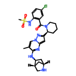 Cc1cn2nc([C@@H]3CCCCN3C(=O)c3cc(Cl)ccc3NS(C)(=O)=O)cc2nc1N[C@H]1C[C@H]2C[C@@H]1CN2